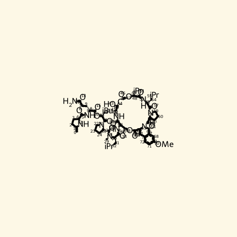 C=C1CCC(C(=O)N[C@H](CCC(N)=O)C(=O)O[C@@H](C)C(=O)N2CCC[C@H]2C(=O)N(C)[C@H](CC(C)C)C(=O)N[C@H]2C(=O)N[C@@H]([C@@H](C)CC)[C@@H](O)CC(=O)O[C@@H](C(C)C)C(=O)N[C@@H](CC(C)C)C(=O)N3CCC[C@H]3C(=O)N3Cc4cc(OC)ccc4C[C@H]3C(=O)O[C@H]2C)N1